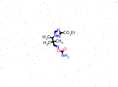 CCOC(=O)c1ncn(C(C)C(C)(C)C=NOC(N)=O)n1